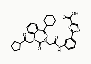 O=C(CN1N=C(C2CCCCC2)c2ccccc2N(CC(=O)C2CCCC2)C1=O)Nc1cccc(-c2nc(C(=O)O)co2)c1